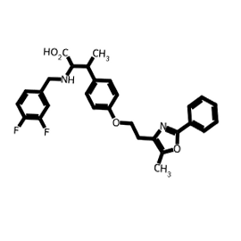 Cc1oc(-c2ccccc2)nc1CCOc1ccc(C(C)C(NCc2ccc(F)c(F)c2)C(=O)O)cc1